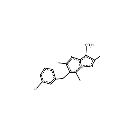 Cc1nc2c(C(=O)O)c(C)nn2c(C)c1Cc1cccc(Cl)c1